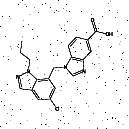 CCCn1ncc2cc(Cl)cc(Cn3cnc4cc(C(=O)O)ccc43)c21